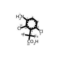 Nc1ccc(Cl)c(C(F)(F)C(=O)O)c1Cl